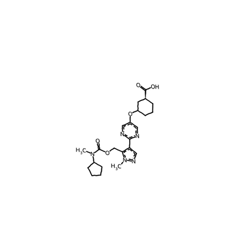 CN(C(=O)OCc1c(-c2ncc(OC3CCC[C@H](C(=O)O)C3)cn2)cnn1C)C1CCCC1